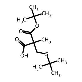 CC(C)(C)OC(=O)C(C)(CSC(C)(C)C)C(=O)O